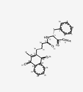 COC(=O)[C@@H](Cc1ccccc1)NC(=O)CCCC1=C(C)C(=O)c2ccccc2C1=O